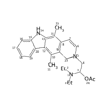 CCN(CC)C(CN1C=Cc2c(c(C)c3c([nH]c4ccccc43)c2C)C1)OC(C)=O